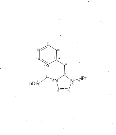 CCCCCCCCCCCN1C=CN(C(C)C)C1Cc1ccccc1